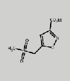 CCOC(=O)c1cc(CS(C)(=O)=O)on1